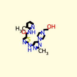 Cc1nc(Nc2ncc(C(=O)Nc3ncccc3C)s2)cc(N2CCN(CCO)CC2)n1